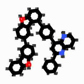 c1ccc(-c2cc(-c3ccc(-c4cccc5oc6ccc(-c7ccc8oc9ccccc9c8c7)cc6c45)cc3)c3ncccc3n2)cc1